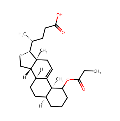 CCC(=O)OC1CCC[C@H]2CC[C@@H]3C(=CC[C@]4(C)[C@@H]([C@H](C)CCC(=O)O)CC[C@@H]34)[C@@]12C